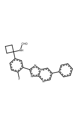 O=CNC1(c2ccc(F)c(-c3nc4ncc(-c5ccccc5)cn4n3)c2)CCC1